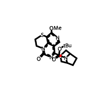 COc1ncc2c(N3CC4CCC(C3)N4C(=O)OC(C)(C)C)nc(=O)n3c2c1SCC3